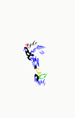 COc1cnc2c(c1)[C@@H](N)C1(CCN(c3ncc(Sc4ccnc(N)c4Cl)nn3)CC1)C2